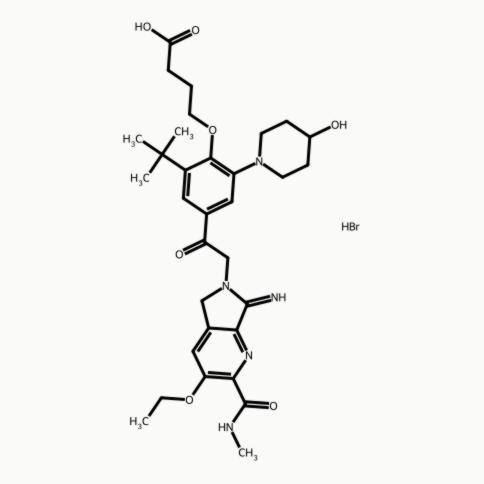 Br.CCOc1cc2c(nc1C(=O)NC)C(=N)N(CC(=O)c1cc(N3CCC(O)CC3)c(OCCCC(=O)O)c(C(C)(C)C)c1)C2